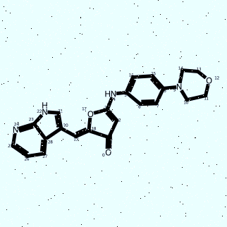 O=C1C=C(Nc2ccc(N3CCOCC3)cc2)OC1=Cc1c[nH]c2ncccc12